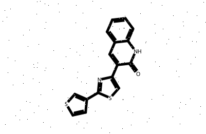 O=c1[nH]c2ccccc2cc1-c1csc(-c2ccsc2)n1